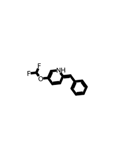 FC(F)OC1=CNC(=Cc2ccccc2)C=C1